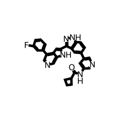 O=C(Nc1cncc(-c2ccc3[nH]nc(-c4cc5c(-c6cccc(F)c6)cncc5[nH]4)c3c2)c1)C1CCC1